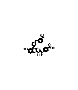 O=C(Nc1ccc(C(=O)O)cc1)N[C@@H](Cc1ccc(O)cc1)C(=O)NC1CCN(Cc2cccc(C(F)(F)F)c2)C1